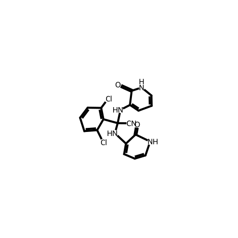 N#CC(Nc1ccc[nH]c1=O)(Nc1ccc[nH]c1=O)c1c(Cl)cccc1Cl